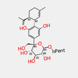 C=C(C)[C@H]1CCC(C)=C[C@@H]1c1c(O)cc([C@]2(CO)O[C@@H](OCCCCC)[C@H](O)[C@@H](O)[C@@H]2O)cc1O